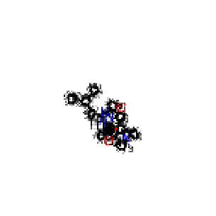 CC1C2=C3C(C)(c4ccccc4N4c5ccccc5C(=CC2(C)c2ccc5oc6cccc(-c7nc(-c8ccccc8)nc(-c8cccc(-c9cc(-c%10ccccc%10)cc(-c%10ccccc%10)c9)c8)n7)c6c5c2)C34C)c2oc3ccccc3c21